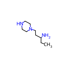 CCC(N)CCN1CCNCC1